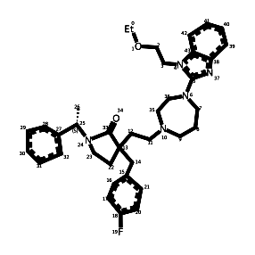 CCOCCn1c(N2CCCN(CCC3(Cc4ccc(F)cc4)CCN([C@@H](C)c4ccccc4)C3=O)CC2)nc2ccccc21